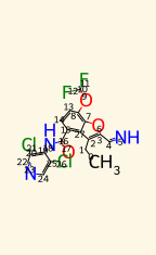 CCc1c(C=N)oc2c(OC(F)F)ccc(C(=O)Nc3c(Cl)cncc3Cl)c12